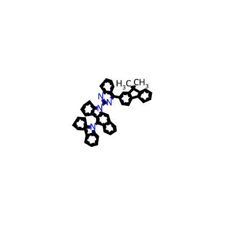 CC1(C)c2ccccc2-c2ccc(-c3nc(-n4c5ccccc5c5c(-n6c7ccccc7c7ccccc76)c6ccccc6cc54)nc4ccccc34)cc21